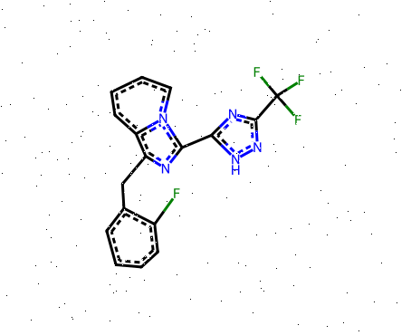 Fc1ccccc1Cc1nc(-c2nc(C(F)(F)F)n[nH]2)n2ccccc12